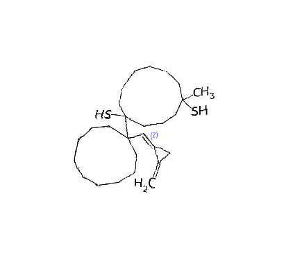 C=C1C/C1=C/C1(C2(S)CCCCCCC(C)(S)CCC2)CCCCCCCCC1